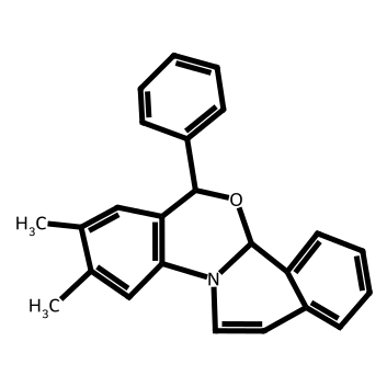 Cc1cc2c(cc1C)N1C=Cc3ccccc3C1OC2c1ccccc1